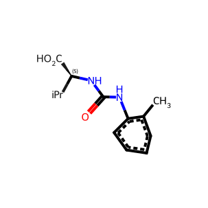 Cc1ccccc1NC(=O)N[C@H](C(=O)O)C(C)C